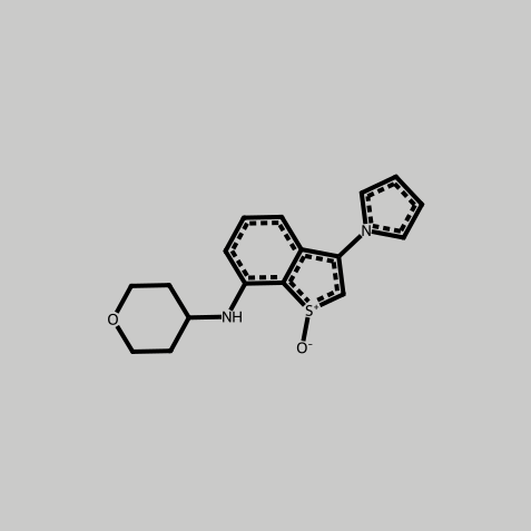 [O-][s+]1cc(-n2cccc2)c2cccc(NC3CCOCC3)c21